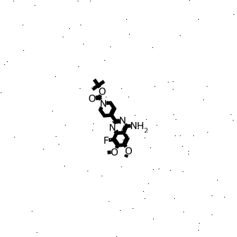 COc1cc2c(N)nc(C3=CCN(C(=O)OC(C)(C)C)CC3)nc2c(F)c1OC